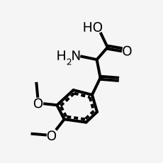 C=C(c1ccc(OC)c(OC)c1)C(N)C(=O)O